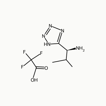 CC(C)[C@H](N)c1nnn[nH]1.O=C(O)C(F)(F)F